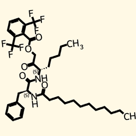 CCCCCCCCCCCC(=O)N[C@@H](Cc1ccccc1)C(=O)N[C@@H](CCCCC)C(=O)COC(=O)c1c(C(F)(F)F)cccc1C(F)(F)F